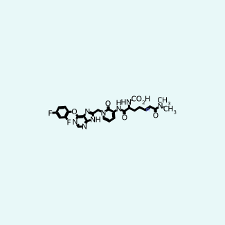 CN(C)C(=O)/C=C/CCC(NC(=O)O)C(=O)Nc1cccn(Cc2nc3c(Oc4ccc(F)cc4F)ncnc3[nH]2)c1=O